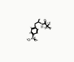 CC(Cc1ccc([N+](=O)[O-])cc1)NC(=O)C(F)(F)F